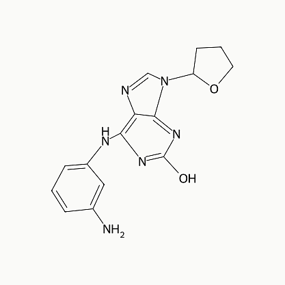 Nc1cccc(Nc2nc(O)nc3c2ncn3C2CCCO2)c1